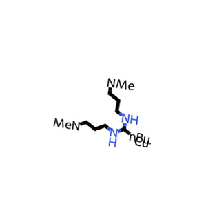 CCCCC(NCCC[15NH]C)NCCC[15NH]C.[Cu]